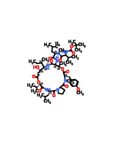 CC[C@H](C)[C@H]1NC(=O)[C@@H](NC(=O)[C@@H](CC(C)C)N(C)C(=O)C(NC(=O)OC(C)(C)C)C(C)C)[C@@H](C)OC(=O)[C@H](Cc2ccc(OC)cc2)N(C)C(=O)C2CCCN2C(=O)[C@H](CC(C)C)NC(=O)[C@H](C(C)C)OC(=O)C[C@@H]1O